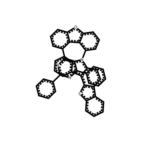 c1ccc(-c2nc(-c3ccccc3)nc(-c3cccc4oc5cccc(-n6c7ccccc7c7c8sc9ccccc9c8ccc76)c5c34)n2)cc1